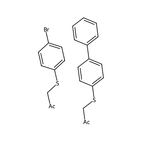 CC(=O)CSc1ccc(-c2ccccc2)cc1.CC(=O)CSc1ccc(Br)cc1